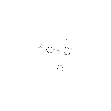 CN(Cc1ccc2c(c1)CCC(c1c(OCc3ccc(Cl)cn3)cc[nH]c1=O)=C2)S(C)(=O)=O.O=C(O)C(F)(F)F